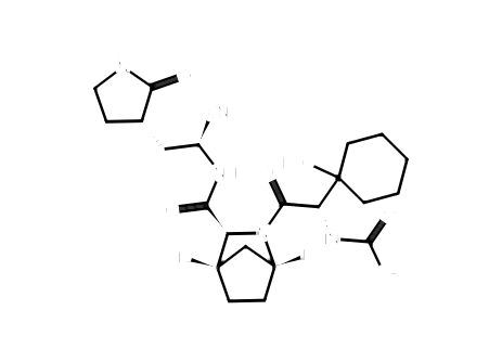 CC1([C@H](NC(=O)C(F)(F)F)C(=O)N2[C@@H]3CC[C@@H](C3)[C@H]2C(=O)N[C@H](C#N)C[C@@H]2CCNC2=O)CCCCC1